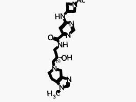 CC(=O)N1CC(Nc2cc(C(=O)NC[C@H](O)CN3CCc4c(ncn4C)C3)ncn2)C1